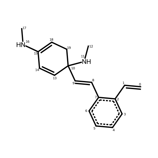 C=Cc1ccccc1C=CC1(NC)C=CC(NC)=CC1